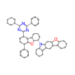 c1ccc(-c2nc(-c3ccccc3)nc(-c3ccc(-c4ccccc4)c4oc5c(-n6c7ccccc7c7cc8c(cc76)oc6ccccc68)cccc5c34)n2)cc1